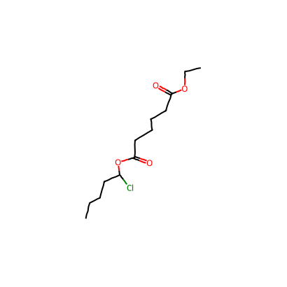 CCCCC(Cl)OC(=O)CCCCC(=O)OCC